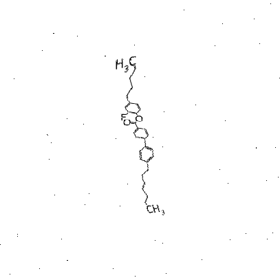 CCCCCCCc1ccc(-c2ccc(C(=O)Oc3ccc(CCCCC)cc3F)cc2)cc1